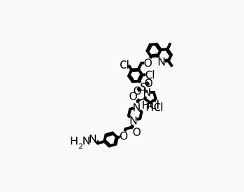 Cc1cc(C)c2cccc(OCc3c(Cl)ccc(S(=O)(=O)N4CCC[C@H]4C(=O)N4CCN(C(=O)COc5ccc(C=NN)cc5)CC4)c3Cl)c2n1.Cl.Cl